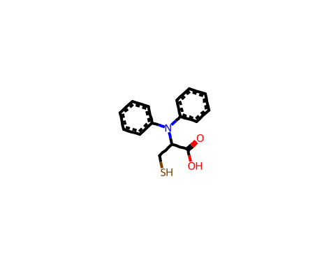 O=C(O)C(CS)N(c1ccccc1)c1ccccc1